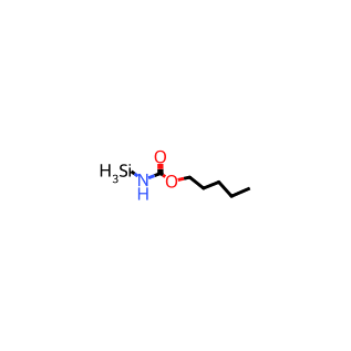 CCCCCOC(=O)N[SiH3]